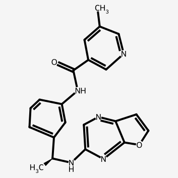 Cc1cncc(C(=O)Nc2cccc([C@H](C)Nc3cnc4ccoc4n3)c2)c1